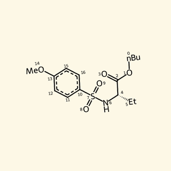 CCCCOC(=O)[C@H](CC)NS(=O)(=O)c1ccc(OC)cc1